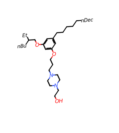 CCCCCCCCCCCCCCCc1cc(OCCCN2CCN(CCO)CC2)cc(OCC(CC)CCCC)c1